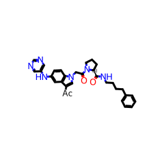 CC(=O)c1cn(CC(=O)N2CCC[C@H]2C(=O)NCCCCc2ccccc2)c2ccc(Nc3cncnc3)cc12